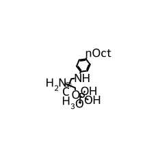 CCCCCCCCc1ccc(NC[C@@](C)(N)COP(=O)(O)O)cc1